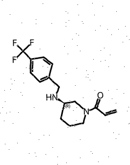 C=CC(=O)N1CCC[C@@H](NCc2ccc(C(F)(F)F)cc2)C1